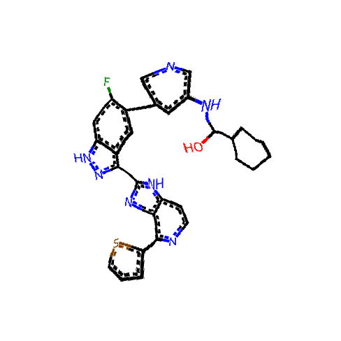 OC(Nc1cncc(-c2cc3c(-c4nc5c(-c6cccs6)nccc5[nH]4)n[nH]c3cc2F)c1)C1CCCCC1